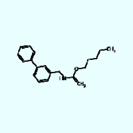 C=C(NCc1cccc(-c2ccccc2)c1)OCCCCC